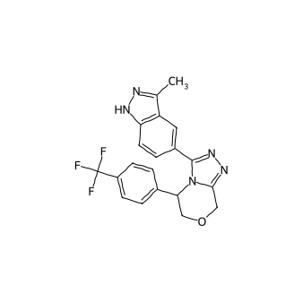 Cc1n[nH]c2ccc(-c3nnc4n3C(c3ccc(C(F)(F)F)cc3)COC4)cc12